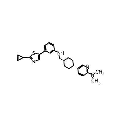 CN(C)c1ccc([C@H]2CC[C@H](CNc3cccc(-c4cnc(C5CC5)s4)c3)CC2)cn1